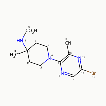 CC1(NC(=O)O)CCN(c2ncc(Br)nc2C#N)CC1